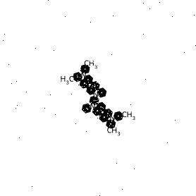 Cc1ccc(N(c2ccc(C)cc2)c2ccc3c4cccc5c(N(c6ccccc6)c6ccc(N(c7ccccc7)c7ccc8c9cccc%10c(N(c%11ccc(C)cc%11)c%11ccc(C)cc%11)ccc(c%11cccc7c%118)c%109)cc6)ccc(c6cccc2c63)c54)cc1